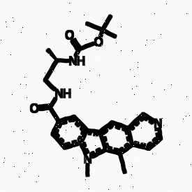 Cc1c2ccncc2cc2c3cc(C(=O)NC[C@@H](C)NC(=O)OC(C)(C)C)ccc3n(C)c12